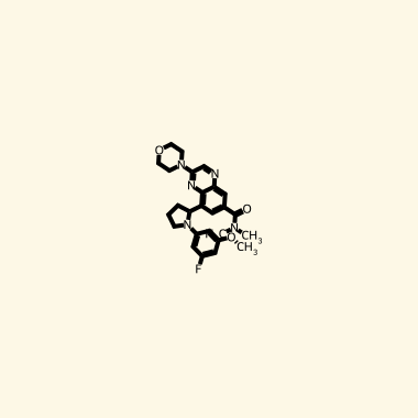 COc1cc(F)cc(N2CCCC2c2cc(C(=O)N(C)C)cc3ncc(N4CCOCC4)nc23)c1